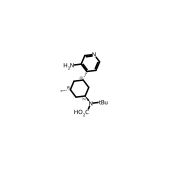 C[C@@H]1C[C@H](c2ccncc2N)C[C@@H](N(C(=O)O)C(C)(C)C)C1